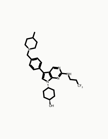 CC1CCN(Cc2ccc(-c3cn([C@H]4CC[C@H](O)CC4)c4nc(NCCC(F)(F)F)ncc34)cc2)CC1